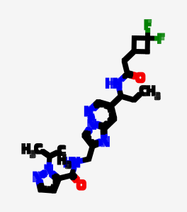 CCC(NC(=O)CC1CC(F)(F)C1)c1cnn2cc(CNC(=O)c3ccnn3C(C)C)nc2c1